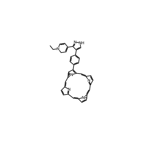 CCN1C=CC(c2n[nH]cc2-c2ccc(-c3cc4cc5nc(cc6ccc(cc7nc(cc3[nH]4)C=C7)[nH]6)C=C5)cc2)=CC1